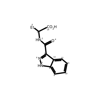 CCC(NC(=O)c1n[nH]c2ccccc12)C(=O)O